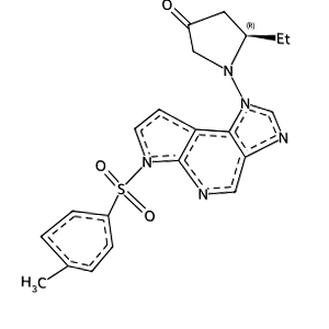 CC[C@@H]1CC(=O)CN1n1cnc2cnc3c(ccn3S(=O)(=O)c3ccc(C)cc3)c21